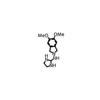 COc1cc2c(cc1OC)CN(NC1NCCN1)C2